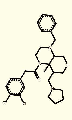 CC12C(CN3CCCC3)COCC1N(Cc1ccccc1)CCN2C(=O)Cc1ccc(Cl)c(Cl)c1